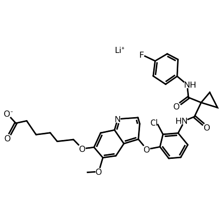 COc1cc2c(Oc3cccc(NC(=O)C4(C(=O)Nc5ccc(F)cc5)CC4)c3Cl)ccnc2cc1OCCCCCC(=O)[O-].[Li+]